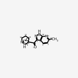 Cc1ccc2c(C(=O)C3CNN4CCC3CC4)n[nH]c2n1